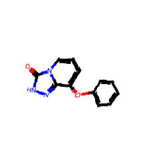 O=c1[nH]nc2c(Oc3ccccc3)cccn12